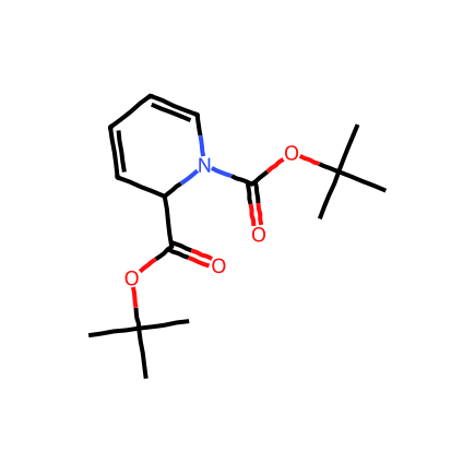 CC(C)(C)OC(=O)C1C=CC=CN1C(=O)OC(C)(C)C